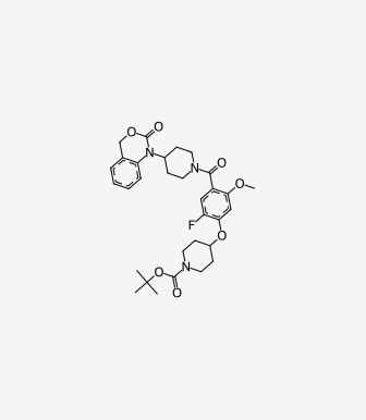 COc1cc(OC2CCN(C(=O)OC(C)(C)C)CC2)c(F)cc1C(=O)N1CCC(N2C(=O)OCc3ccccc32)CC1